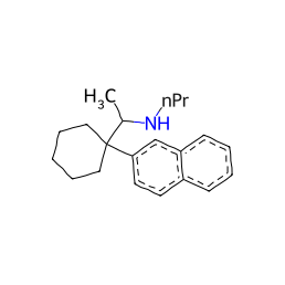 CCCNC(C)C1(c2ccc3ccccc3c2)CCCCC1